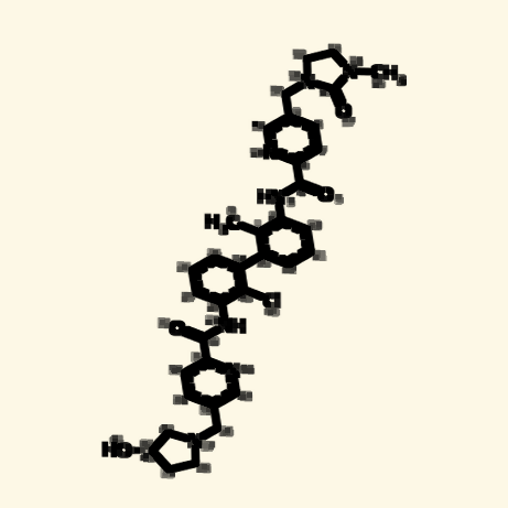 Cc1c(NC(=O)c2ccc(CN3CCN(C)C3=O)cn2)cccc1-c1cccc(NC(=O)c2ccc(CN3CC[C@H](O)C3)cn2)c1Cl